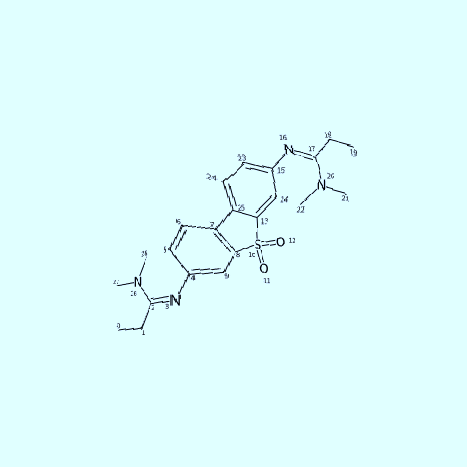 CCC(=Nc1ccc2c(c1)S(=O)(=O)c1cc(N=C(CC)N(C)C)ccc1-2)N(C)C